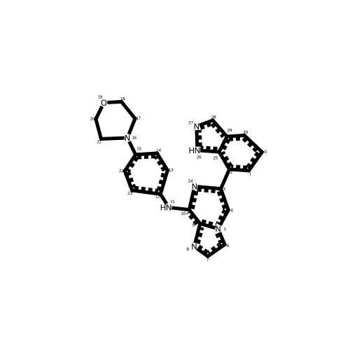 c1cc(-c2cn3ccnc3c(Nc3ccc(N4CCOCC4)cc3)n2)c2[nH]ncc2c1